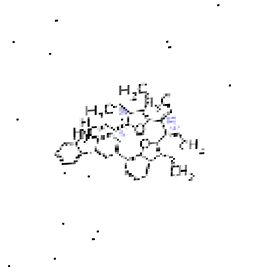 C=C/C=c1/oc(C(=C\C)/C(=C/C)c2oc3c(-c4ccc5[nH]c6ccccc6c5c4)cccc3c2C=C)c(C=C)/c1=C/C